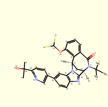 [2H]C([2H])([2H])N1C(=O)c2cccc(OC(F)F)c2[C@H]2C[C@@H]1c1nc3ccc(-c4ccc(C(C)(C)O)nc4)cc3n12